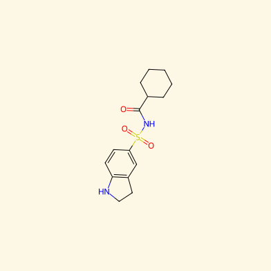 O=C(NS(=O)(=O)c1ccc2c(c1)CCN2)C1CCCCC1